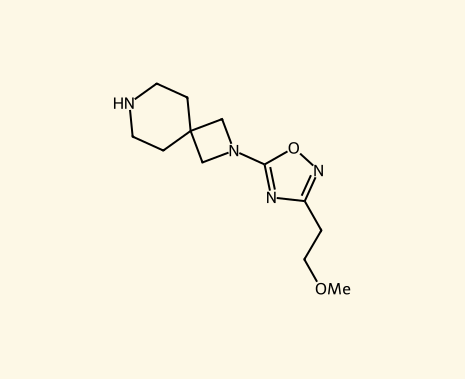 COCCc1noc(N2CC3(CCNCC3)C2)n1